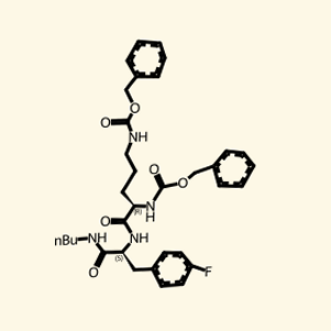 CCCCNC(=O)[C@H](Cc1ccc(F)cc1)NC(=O)[C@@H](CCCNC(=O)OCc1ccccc1)NC(=O)OCc1ccccc1